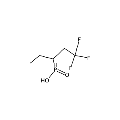 CCC(CC(F)(F)F)[PH](=O)O